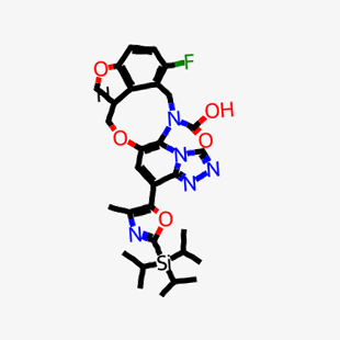 Cc1nc([Si](C(C)C)(C(C)C)C(C)C)oc1-c1cc2c(n3cnnc13)N(C(=O)O)Cc1c(F)ccc3c1[C@@H](CO3)CO2